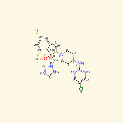 C[C@@H](N1CCC(Nc2ncc(Cl)cn2)CC1)[C@](O)(Cn1cncn1)c1ccc(F)cc1F